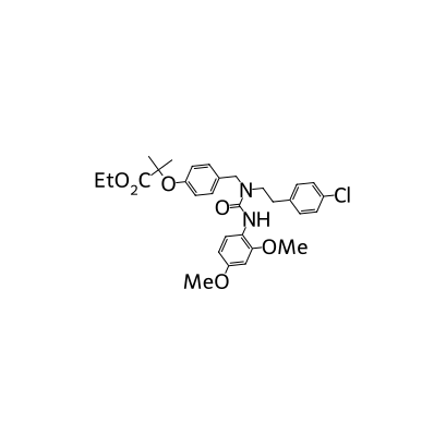 CCOC(=O)C(C)(C)Oc1ccc(CN(CCc2ccc(Cl)cc2)C(=O)Nc2ccc(OC)cc2OC)cc1